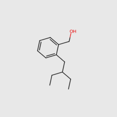 CCC(CC)Cc1ccccc1CO